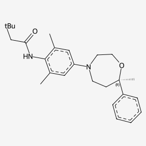 Cc1cc(N2CCO[C@@](C)(c3ccccc3)CC2)cc(C)c1NC(=O)CC(C)(C)C